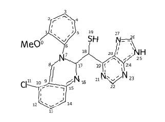 COc1ccccc1N1C=c2c(Cl)cccc2=NC1C(S)c1ncnc2[nH]cnc12